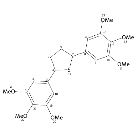 COc1cc(C2CCC(c3cc(OC)c(OC)c(OC)c3)S2)cc(OC)c1OC